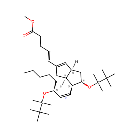 CCCCC[C@@H](/C=C\[C@H]1[C@H]2CC(C=CCCC(=O)OC)=C[C@H]2C[C@H]1O[Si](C)(C)C(C)(C)C)O[Si](C)(C)C(C)(C)C